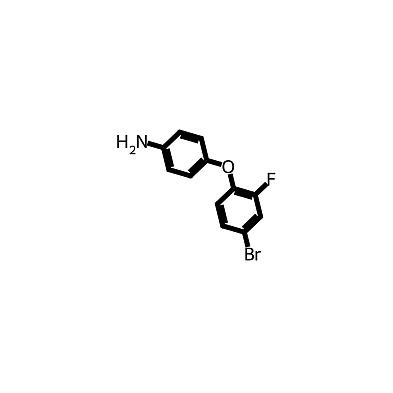 Nc1ccc(Oc2ccc(Br)cc2F)cc1